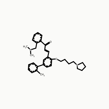 Cc1ccccc1-c1ccc(OCCCCN2CCCC2)c(C=CC(=O)c2ccccc2CN(C)C)c1